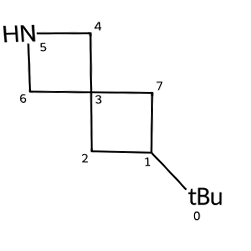 CC(C)(C)C1CC2(CNC2)C1